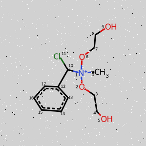 C[N+](OCCO)(OCCO)C(Cl)c1ccccc1